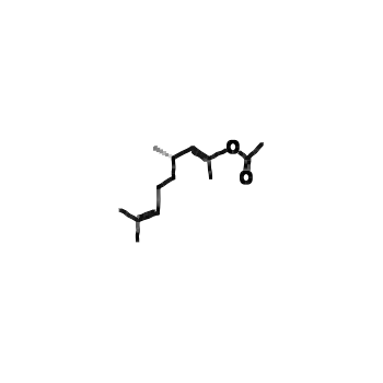 CC(=O)O/C(C)=C/[C@@H](C)CCC=C(C)C